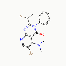 CC(Br)c1nc2ncc(Br)c(N(C)C)c2c(=O)n1-c1ccccc1